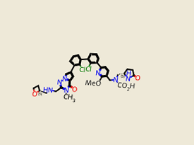 COc1nc(-c2cccc(-c3cccc(-c4cc5c(=O)n(C)c(CNC[C@@H]6CCO6)nn5c4)c3Cl)c2Cl)ccc1CN(C[C@@H]1CCC(=O)N1)C(=O)O